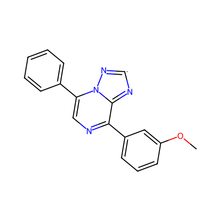 COc1cccc(-c2ncc(-c3ccccc3)n3n[c]nc23)c1